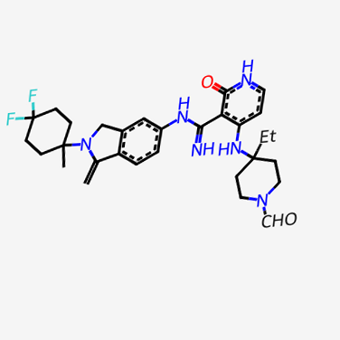 C=C1c2ccc(NC(=N)c3c(NC4(CC)CCN(C=O)CC4)cc[nH]c3=O)cc2CN1C1(C)CCC(F)(F)CC1